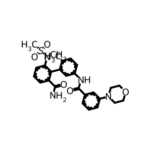 Cc1ccc(NC(=O)c2cccc(N3CCOCC3)c2)cc1-c1c(C(N)=O)cccc1N(C)S(C)(=O)=O